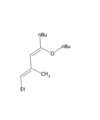 [CH2]C/C=C(C)/C=C(/CCC[CH2])OCCCC